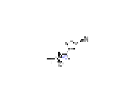 C/C(=N\[S+]([O-])C(C)(C)C)c1cc(C#N)cs1